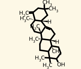 C=C1CC(C)(C)C[C@@H]2C3=CC[C@@H]4[C@@]5(C)CCC(O)C(C)(C)C5CC[C@@]4(C)[C@]3(C)CC[C@@]12C